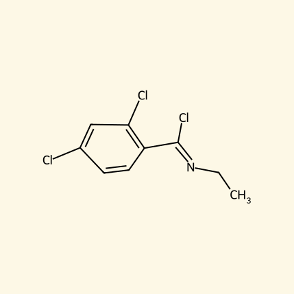 CCN=C(Cl)c1ccc(Cl)cc1Cl